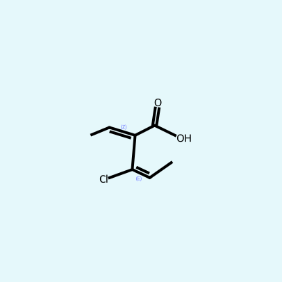 C/C=C(C(=O)O)\C(Cl)=C/C